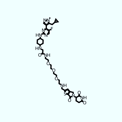 Cn1ncc(-c2nc(NC3CCC(NCC(=O)NCCOCCOCCOCCNCc4cc5c(s4)C(=O)N(C4CCC(=O)NC4=O)C5)CC3)ncc2F)c1CC1CC1